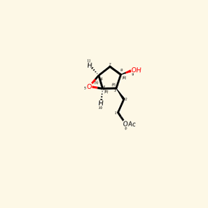 CC(=O)OCC[C@H]1[C@H]2O[C@H]2C[C@H]1O